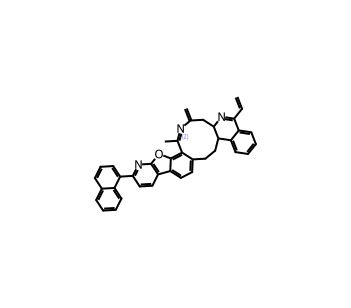 C=CC1=NC2CC(=C)/N=C(/C)c3c(ccc4c3oc3nc(-c5cccc6ccccc56)ccc34)CCC2c2ccccc21